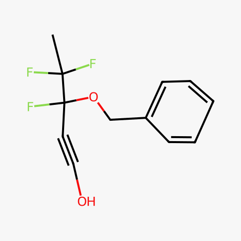 CC(F)(F)C(F)(C#CO)OCc1ccccc1